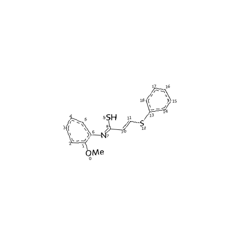 COc1ccccc1N=C(S)C=CSc1ccccc1